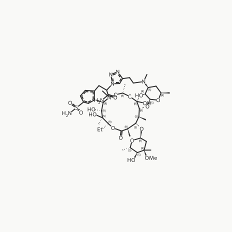 CC[C@H]1OC(=O)[C@H](C)[C@@H](O[C@H]2C[C@@](C)(OC)[C@@H](O)[C@H](C)O2)[C@H](C)[C@@H](O[C@@H]2O[C@H](C)C[C@H](N(C)CCc3cn(C(Cc4ccc(S(N)(=O)=O)cc4)C(N)=O)nn3)[C@H]2O)[C@](C)(O)C[C@@H](C)CN(C)[C@H](C)[C@@H](O)[C@]1(C)O